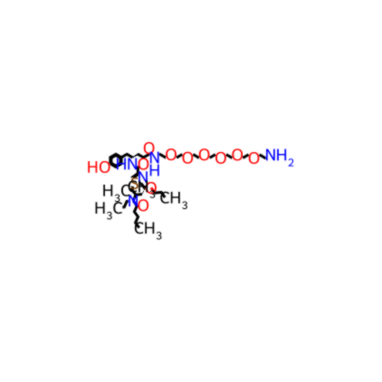 CCCCC(=O)N(CCC)C(C[C@@H](OCCC)c1nc(C(=O)N[C@H](CCC(=O)NCCOCCOCCOCCOCCOCCOCCN)Cc2ccc(O)cc2)cs1)C(C)C